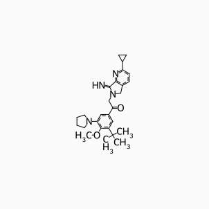 COc1c(N2CCCC2)cc(C(=O)CN2Cc3ccc(C4CC4)nc3C2=N)cc1C(C)(C)C